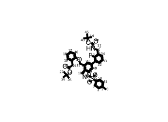 Cc1ccc(S(=O)(=O)n2ncc3c(COc4ccccc4CC(=O)OC(C)(C)C)cc(-c4cccc([C@@H](C)NC(=O)OC(C)(C)C)c4F)cc32)cc1